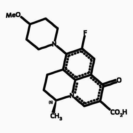 COC1CCN(c2c(F)cc3c(=O)c(C(=O)O)cn4c3c2CC[C@@H]4C)CC1